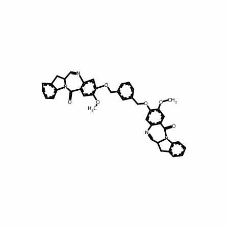 COc1cc2c(cc1OCc1cccc(COc3cc4c(cc3OC)C(=O)N3c5ccccc5CC3C=N4)c1)N=CC1Cc3ccccc3N1C2=O